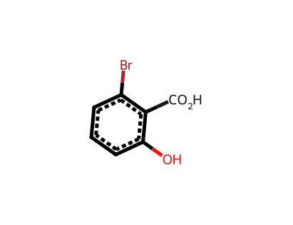 O=C(O)c1c(O)cccc1Br